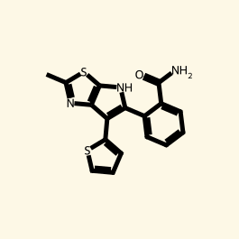 Cc1nc2c(-c3cccs3)c(-c3ccccc3C(N)=O)[nH]c2s1